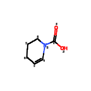 O=C(O)N1C=C[CH]CC1